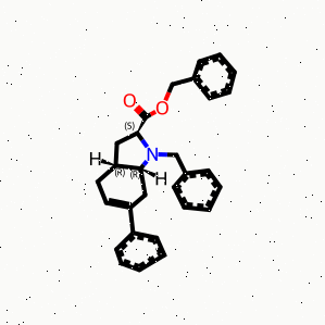 O=C(OCc1ccccc1)[C@@H]1C[C@H]2CC=C(c3ccccc3)C[C@H]2N1Cc1ccccc1